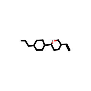 C=CC1CCC(C2CCC(CCC)CC2)OC1